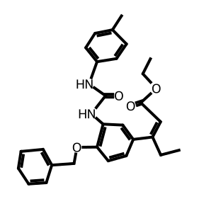 CCOC(=O)/C=C(/CC)c1ccc(OCc2ccccc2)c(NC(=O)Nc2ccc(C)cc2)c1